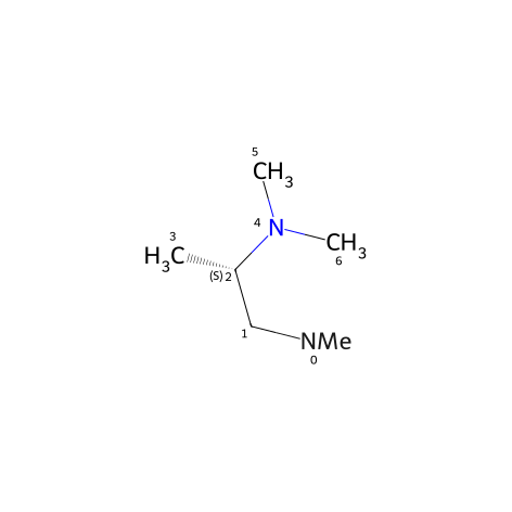 CNC[C@H](C)N(C)C